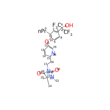 CCCc1cc(C(O)(C(F)(F)F)C(F)(F)F)ccc1Oc1ccc(CCN2C(=O)N(C)C(C)(C)C2=O)nc1